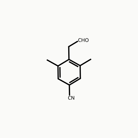 Cc1cc(C#N)cc(C)c1CC=O